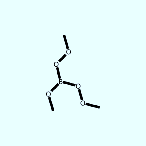 COOB(OC)OOC